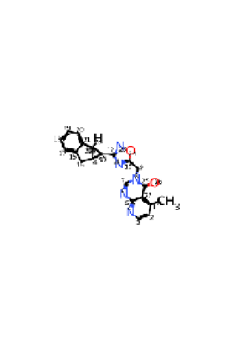 Cc1ccnc2ncn(Cc3nc([C@H]4C5Cc6ccccc6[C@@H]54)no3)c(=O)c12